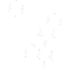 CC(C)CN1C(=N)/C(=C(\NCC#Cc2ccccc2)Nc2ccccc2)C(=O)N(C)C1=O